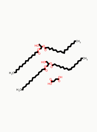 CCCCCCCC/C=C\CCCCCCCC(=O)OC(CO)COC(=O)CCCCCCCCCCCCCCC.CCCCCCCC/C=C\CCCCCCCC(=O)OC(CO)COC(=O)CCCCCCCCCCCCCCC.O=C(O)CCC(=O)O